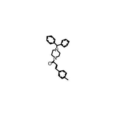 Cc1ccc(/C=C/C(=O)N2CCN(C(c3ccccc3)c3ccccc3)CC2)cc1